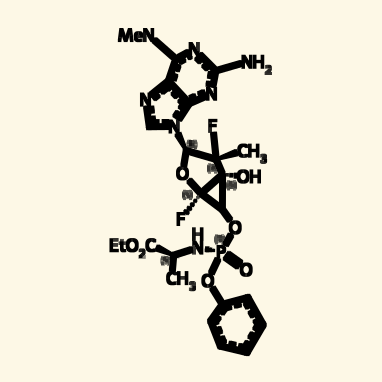 CCOC(=O)[C@H](C)N[P@](=O)(Oc1ccccc1)OC1[C@]2(O)[C@@](C)(F)[C@H](n3cnc4c(NC)nc(N)nc43)O[C@]12F